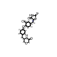 O=C1COCC(Cc2ccc(Oc3ccc(/C=C4/SC(=S)NC4=O)cc3Cl)cc2)N1